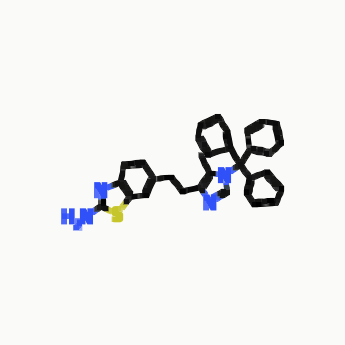 Cc1c(CCc2ccc3nc(N)sc3c2)ncn1C(c1ccccc1)(c1ccccc1)c1ccccc1